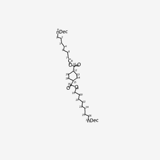 CCCCCCCCCCCCCCCCCCOC(=O)C1CCC(C(=O)OCCCCCCCCCCCCCCCCCC)CC1